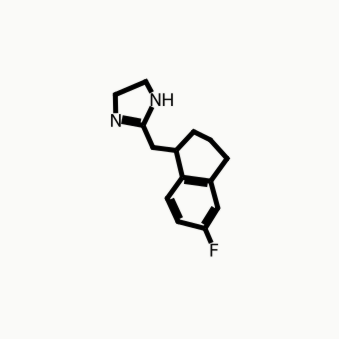 Fc1ccc2c(c1)CCCC2CC1=NCCN1